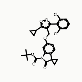 CC(C)(C)OC(=O)N1C(=O)C2(CC2)c2ccc(OCc3c(-c4c(Cl)cccc4Cl)noc3C3CC3)cc21